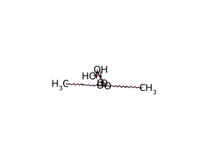 CCCCCCCCC=CCCCCCCCCOCC(COCCCCCCCCC=CCCCCCCCC)OC(=O)CCCN(CCO)CCO